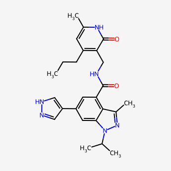 CCCc1cc(C)[nH]c(=O)c1CNC(=O)c1cc(-c2cn[nH]c2)cc2c1c(C)nn2C(C)C